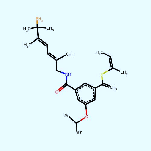 C=C(S/C(C)=C\C)c1cc(OC(CCC)CCC)cc(C(=O)NC/C(C)=C/C=C(\C)C(C)(C)P)c1